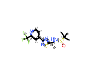 C[C@@H](N[S+]([O-])C(C)(C)C)c1nc(-c2ccnc(C(F)(F)F)c2)ns1